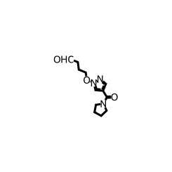 O=CCCCOn1cc(C(=O)N2CCCC2)cn1